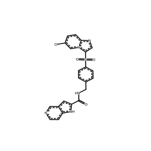 O=C(NCc1ccc(S(=O)(=O)c2cnc3ccc(Cl)cn23)cc1)c1cc2cnccc2[nH]1